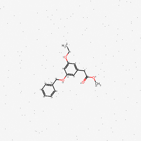 CCOc1cc(CC(=O)OC)cc(OCc2ccccc2)c1